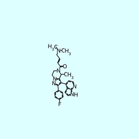 CC1c2c(-c3ccnc4[nH]ccc34)c(-c3ccc(F)cc3)nn2CCN1C(=O)C=CCN(C)C